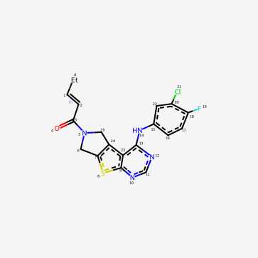 CC/C=C/C(=O)N1Cc2sc3ncnc(Nc4ccc(F)c(Cl)c4)c3c2C1